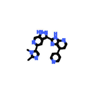 Cc1ncc(-c2cc3c(-c4nc5c(-c6ccncc6)ccnc5[nH]4)n[nH]c3cn2)n1C